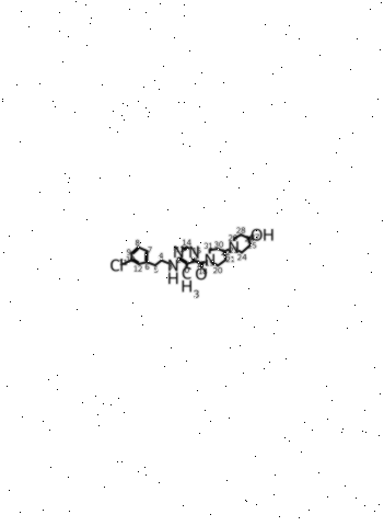 Cc1c(NCCc2cccc(Cl)c2)ncnc1C(=O)N1CCC(N2CCC(O)CC2)CC1